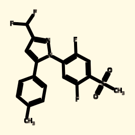 Cc1ccc(-c2cc(C(F)F)nn2-c2cc(F)c(S(C)(=O)=O)cc2F)cc1